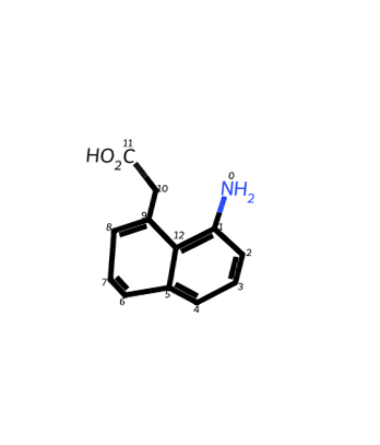 Nc1cccc2cccc(CC(=O)O)c12